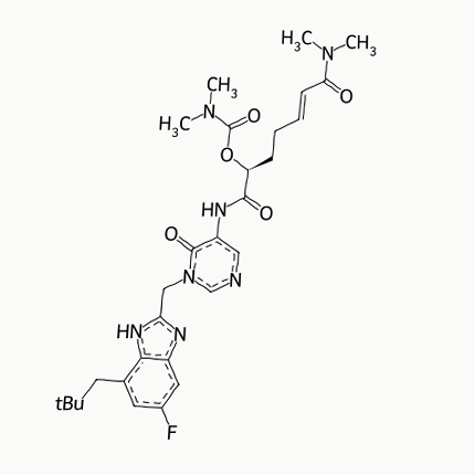 CN(C)C(=O)/C=C/CC[C@H](OC(=O)N(C)C)C(=O)Nc1cncn(Cc2nc3cc(F)cc(CC(C)(C)C)c3[nH]2)c1=O